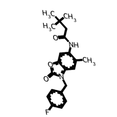 Cc1cc2c(cc1NC(=O)CC(C)(C)C)oc(=O)n2Cc1ccc(F)cc1